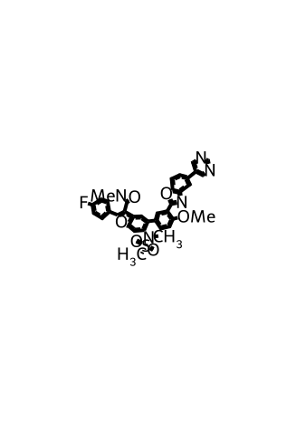 CNC(=O)c1c(-c2ccc(F)cc2)oc2cc(N(C)S(C)(=O)=O)c(-c3ccc(OC)c(-c4nc5cc(-c6cncnc6)ccc5o4)c3)cc12